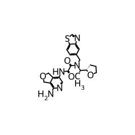 C[C@H]([C@@H]1CCCO1)N(Cc1ccc2scnc2c1)C(=O)C(=O)Nc1cnc(N)c2c1COC2